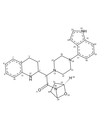 O=C(C(C1CCc2ccccc2N1)N1CCN(c2cccc3[nH]ccc23)CC1)N1C2CC[C@H]1O2